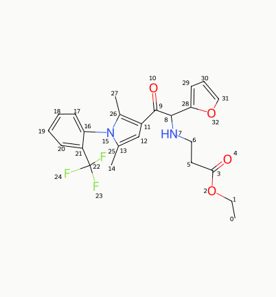 CCOC(=O)CCNC(C(=O)c1cc(C)n(-c2ccccc2C(F)(F)F)c1C)c1ccco1